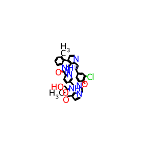 COC(=O)c1ccn(Cc2nc3cc(/C=C/c4nccc(-c5c(C)cccc5NC(=O)c5ccc(CNCCO)cn5)c4C#N)cc(Cl)c3o2)c1